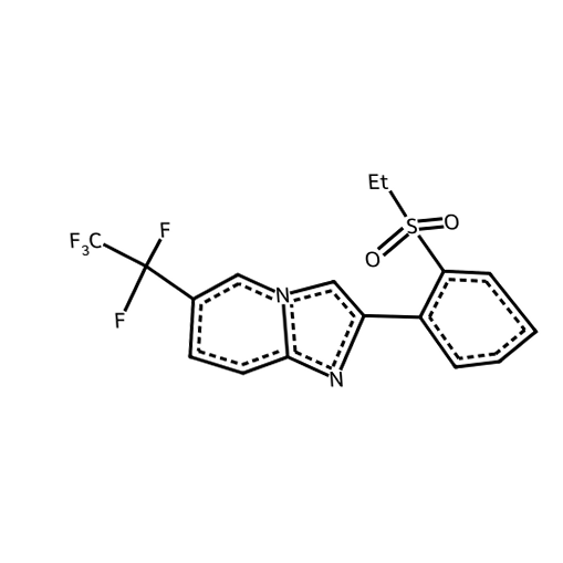 CCS(=O)(=O)c1ccccc1-c1cn2cc(C(F)(F)C(F)(F)F)ccc2n1